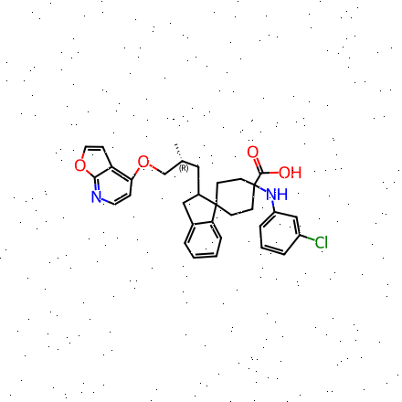 C[C@@H](COc1ccnc2occc12)CC1Cc2ccccc2C12CCC(Nc1cccc(Cl)c1)(C(=O)O)CC2